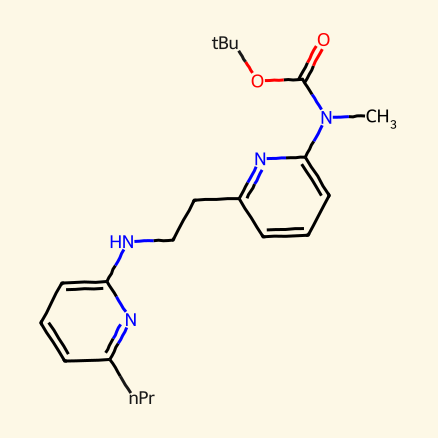 CCCc1cccc(NCCc2cccc(N(C)C(=O)OC(C)(C)C)n2)n1